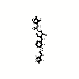 Cc1onc(NC(=O)N2CCC(=Cc3cccc(OCCc4ccsc4)c3)C(C)C2)c1C